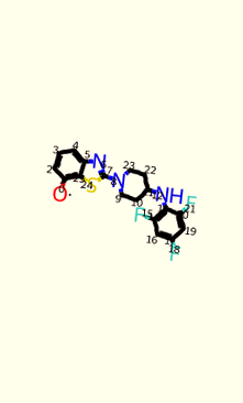 [O]c1cccc2nc(N3CCC(Nc4c(F)cc(F)cc4F)CC3)sc12